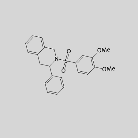 COc1ccc(S(=O)(=O)N2Cc3ccccc3CC2c2ccccc2)cc1OC